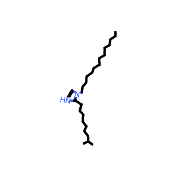 CCCCCCCCCCCCCC[n+]1cc[nH]c1CCCCCCCC(C)C